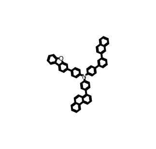 c1cc(-c2ccc(N(c3ccc(-c4ccc5c(c4)oc4ccccc45)cc3)c3ccc(-c4cccc5c4ccc4ccccc45)cc3)cc2)cc(-c2ccc3ccccc3c2)c1